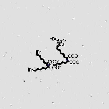 CC(C)CCCCC/C(C(=O)[O-])=C(\CCCCCC(C)C)C(=O)[O-].CC(C)CCCCC/C(C(=O)[O-])=C(\CCCCCC(C)C)C(=O)[O-].CCC[CH2][Sn+4][CH2]CCC